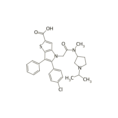 CC(C)N1CCC(N(C)C(=O)Cn2c(-c3ccc(Cl)cc3)c(-c3ccccc3)c3sc(C(=O)O)cc32)C1